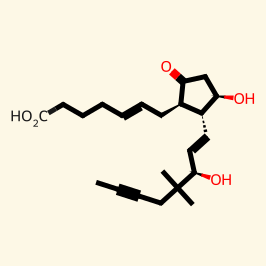 CC#CCC(C)(C)[C@H](O)C=C[C@H]1[C@H](O)CC(=O)[C@@H]1CC=CCCCC(=O)O